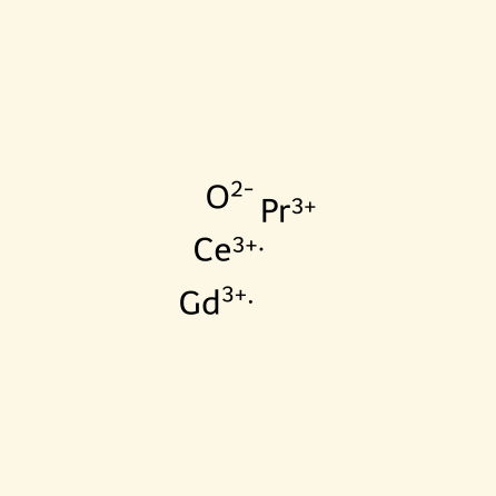 [Ce+3].[Gd+3].[O-2].[Pr+3]